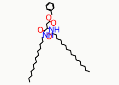 CCCCCCCCCCCCCCCC(=O)NC(CC(=O)OCc1ccccc1)C(=O)NCCCCCCCCCCCCCC